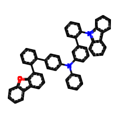 c1ccc(N(c2ccc(-c3ccccc3-c3cccc4c3oc3ccccc34)cc2)c2cccc(-c3ccccc3-n3c4ccccc4c4ccccc43)c2)cc1